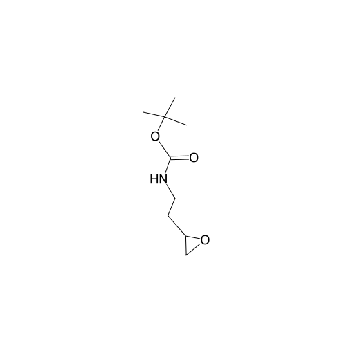 CC(C)(C)OC(=O)NCCC1CO1